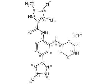 Cc1[nH]c(C(=O)Nc2ccc(-c3n[nH]c(=O)o3)cc2NC2CCNCC2)c(Cl)c1Cl.Cl